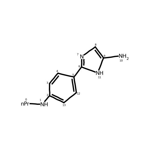 CCCNc1ccc(-c2ncc(N)[nH]2)cc1